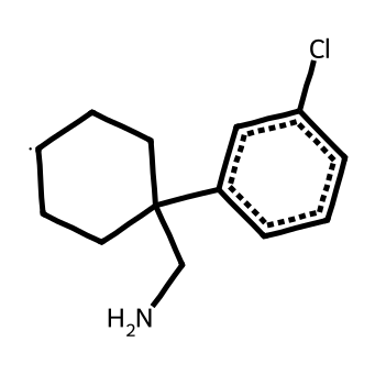 NCC1(c2cccc(Cl)c2)CC[CH]CC1